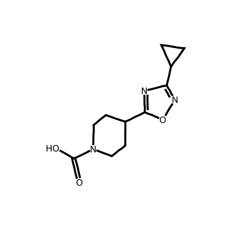 O=C(O)N1CCC(c2nc(C3CC3)no2)CC1